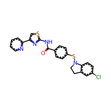 O=C(Nc1nc(-c2ccccn2)cs1)c1ccc(SN2CCc3cc(Cl)ccc32)cc1